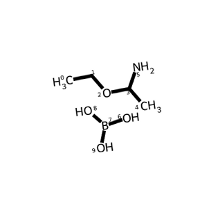 CCOC(C)N.OB(O)O